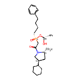 CC(C)[C@H](O)O[P@@](=O)(CCCCc1ccccc1)CC(=O)N1C[C@H](C2CCCCC2)C[C@H]1C(=O)O